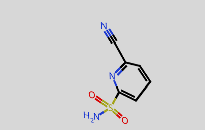 N#Cc1cccc(S(N)(=O)=O)n1